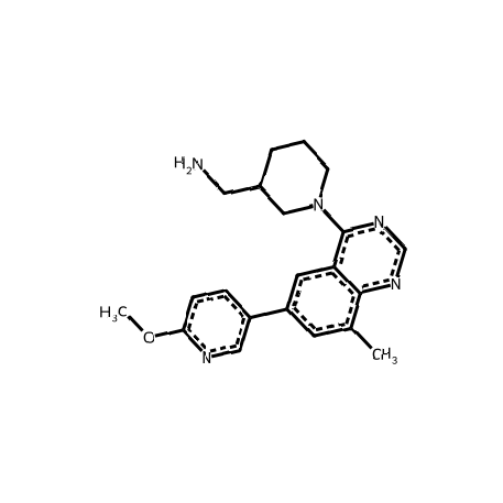 COc1ccc(-c2cc(C)c3ncnc(N4CCCC(CN)C4)c3c2)cn1